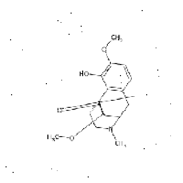 COc1ccc2c(c1O)[C@@]13CCN(C)C(C2)C1CC(OC)C(=O)C3